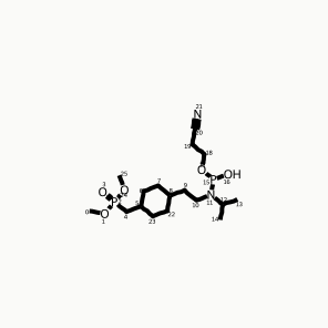 COP(=O)(CC1CCC(CCN(C(C)C)P(O)OCCC#N)CC1)OC